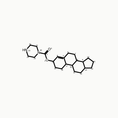 O=C(OC1C=C2CCC3C4CCCC4CCC3C2CC1)N1CCNCC1